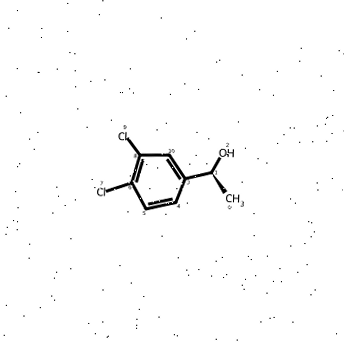 C[C@H](O)c1ccc(Cl)c(Cl)c1